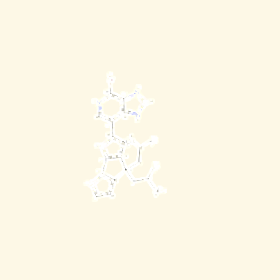 CCCCC(CC)CC1(CC(CC)CCCC)c2ccsc2-c2sc(-c3cnc(Br)c4nsnc34)cc21